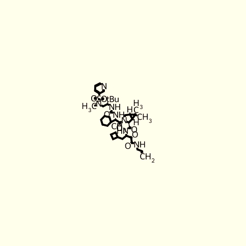 C=CCNC(=O)C(=O)C(CC1CCC1)NC(=O)[C@@H]1[C@@H]2[C@H](CN1C(=O)[C@@H](NC(=O)N[C@H](CN(C)S(=O)(=O)c1cccnc1)C(C)(C)C)C1(C)CCCCC1)C2(C)C